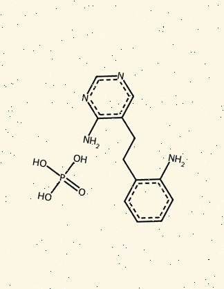 Nc1ccccc1CCc1cncnc1N.O=P(O)(O)O